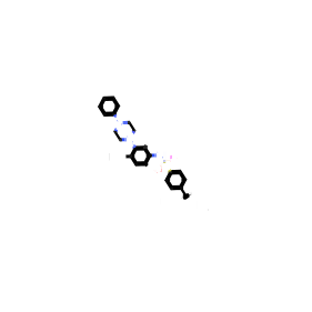 Cc1cc(C)c(N2CCN(c3ccccc3)CC2)c(C)c1NS(=O)(=O)c1ccc(C(C)(C)C)cc1